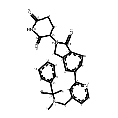 CN(Cc1ccnc(-c2ccc3c(c2)CN(C2CCC(=O)NC2=O)C3=O)c1)C(C)(C)c1ccccc1